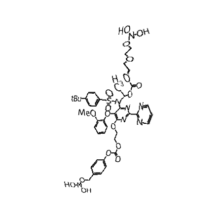 COc1ccccc1Oc1c(OCCOC(=O)Oc2ccc(CON(O)O)cc2)nc(-c2ncccn2)nc1N(C(C)OC(=O)OCCOCCON(O)O)S(=O)(=O)c1ccc(C(C)(C)C)cc1